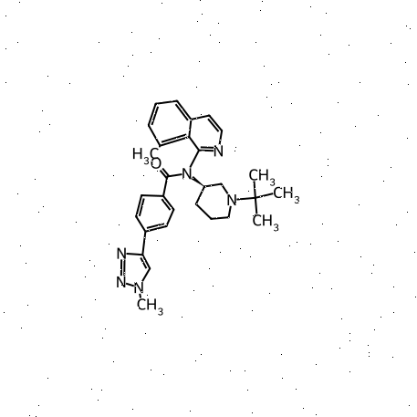 Cc1cccc2ccnc(N(C(=O)c3ccc(-c4cn(C)nn4)cc3)[C@@H]3CCCN(C(C)(C)C)C3)c12